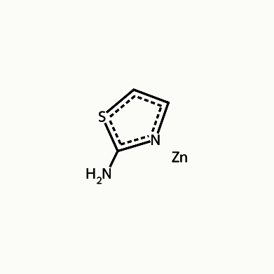 Nc1nccs1.[Zn]